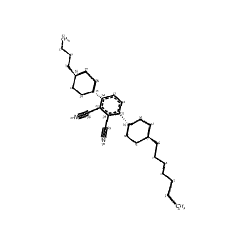 CCCCCCC[C@H]1CC[C@H](c2ccc([C@H]3CC[C@H](CCCC)CC3)c(C#N)c2C#N)CC1